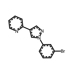 Brc1cccc(-n2cc(-c3ccccn3)cn2)c1